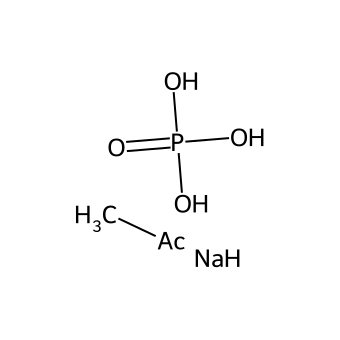 CC(C)=O.O=P(O)(O)O.[NaH]